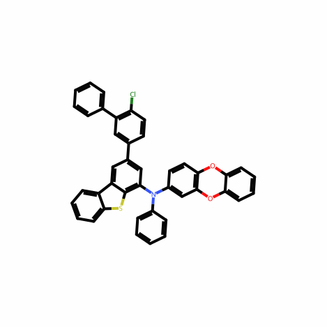 Clc1ccc(-c2cc(N(c3ccccc3)c3ccc4c(c3)Oc3ccccc3O4)c3sc4ccccc4c3c2)cc1-c1ccccc1